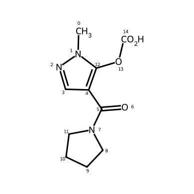 Cn1ncc(C(=O)N2CCCC2)c1OC(=O)O